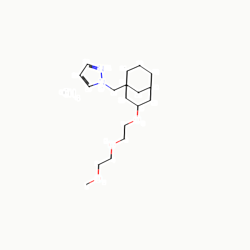 C.COCCOCCOC1CC2CCCC(Cn3cccn3)(C2)C1